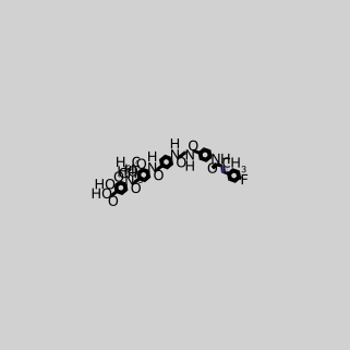 COc1c(NC(=O)c2ccc(NC(=O)c3ccc(NC(=O)CNC(=O)c4ccc(NC(=O)/C(C)=C/c5ccc(F)cc5)cc4)cc3)c(OC)c2O)ccc(C(=O)O)c1O